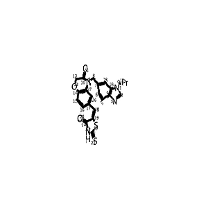 CC(C)n1cnc2ccc(CN3C(=O)COc4ccc(/C=C5/SC(=S)NC5=O)cc43)cc21